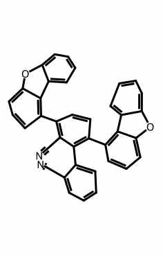 N#Cc1ccccc1-c1c(-c2cccc3oc4ccccc4c23)ccc(-c2cccc3oc4ccccc4c23)c1C#N